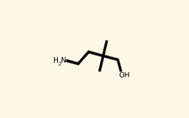 CC(C)(CO)CCN